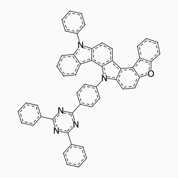 c1ccc(-c2nc(-c3ccccc3)nc(-c3ccc(-n4c5ccc6oc7ccccc7c6c5c5ccc6c(c7ccccc7n6-c6ccccc6)c54)cc3)n2)cc1